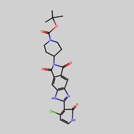 CC(C)(C)OC(=O)N1CCC(N2C(=O)c3cc4nc(-c5c(Cl)cc[nH]c5=O)[nH]c4cc3C2=O)CC1